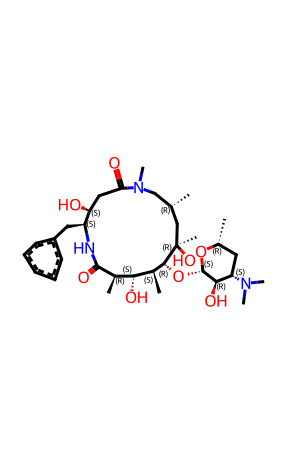 C[C@H]1CN(C)C(=O)C[C@H](O)[C@H](Cc2ccccc2)NC(=O)[C@H](C)[C@@H](O)[C@H](C)[C@@H](O[C@@H]2O[C@H](C)C[C@H](N(C)C)[C@H]2O)[C@](C)(O)C1